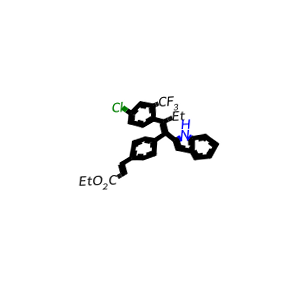 CCOC(=O)/C=C/c1ccc(/C(=C(/CC)c2ccc(Cl)cc2C(F)(F)F)c2cc3ccccc3[nH]2)cc1